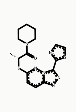 C[C@@H](Sc1ccc2nnc(-c3nccs3)n2n1)C(=O)N1CCCCC1